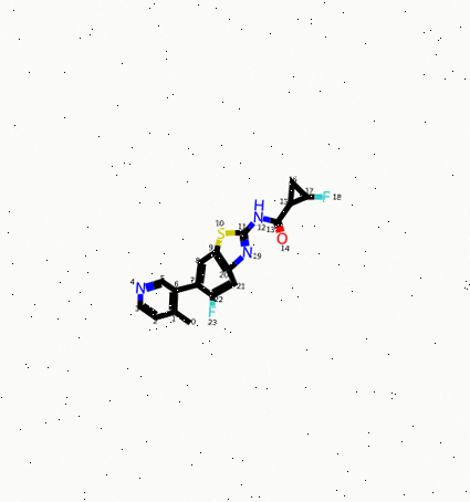 Cc1ccncc1-c1cc2sc(NC(=O)C3CC3F)nc2cc1F